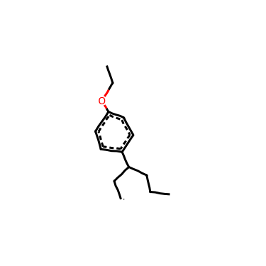 [CH2]CC(CCC)c1ccc(OCC)cc1